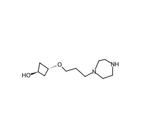 O[C@H]1C[C@H](OCCCN2CCNCC2)C1